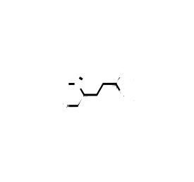 CS(=S)[C@H](CN)CC[C@H](N)C(=O)O